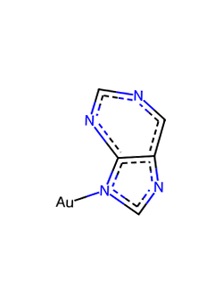 [Au][n]1cnc2cncnc21